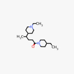 CCC1CCN(C(=O)CCC(C)C2CCN(CC)CC2)CC1